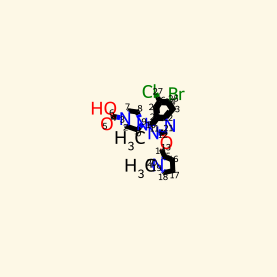 CC1CN(C(=O)O)CCN1c1nc(OCC2CCCN2C)nc2cc(Br)c(Cl)cc12